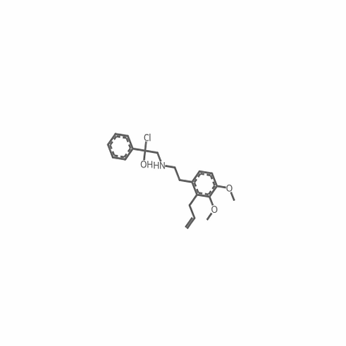 C=CCc1c(CCNCC(O)(Cl)c2ccccc2)ccc(OC)c1OC